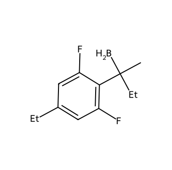 BC(C)(CC)c1c(F)cc(CC)cc1F